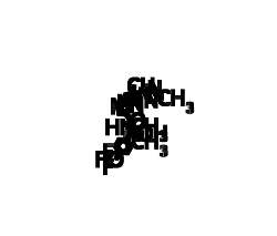 Cc1ncn(-c2nc3c(C(=O)N[C@@H](c4ccc(OC(F)(F)F)cc4)C(C)(C)O)cnn3cc2C)n1